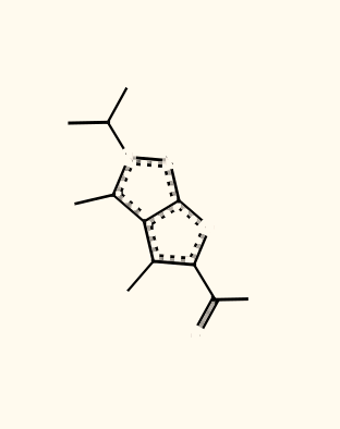 Cc1c(C(=O)O)oc2nn(C(C)C)c(C)c12